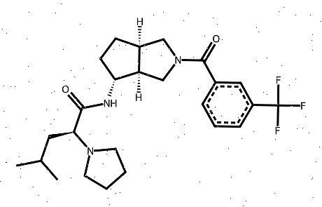 CC(C)C[C@@H](C(=O)N[C@@H]1CC[C@H]2CN(C(=O)c3cccc(C(F)(F)F)c3)C[C@H]21)N1CCCC1